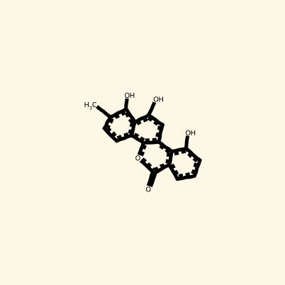 Cc1ccc2c(c(O)cc3c2oc(=O)c2cccc(O)c23)c1O